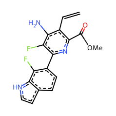 C=Cc1c(C(=O)OC)nc(-c2ccc3cc[nH]c3c2F)c(F)c1N